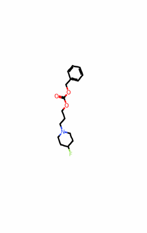 O=C(OCCCN1CCC(F)CC1)OCc1ccccc1